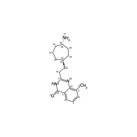 Cc1cccc2c(=O)[nH]c(CS[C@H]3CCC[C@H](N)CC3)nc12